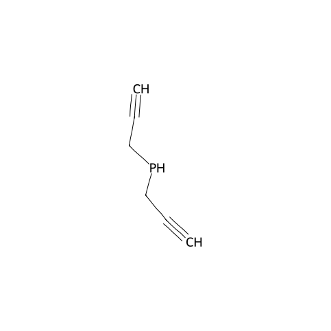 C#CCPCC#C